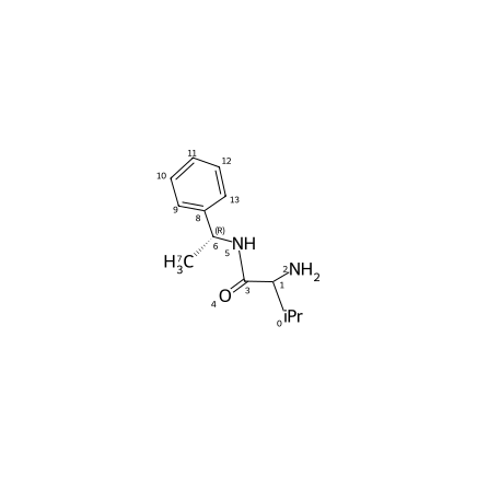 CC(C)C(N)C(=O)N[C@H](C)c1ccccc1